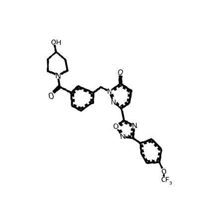 O=C(c1cccc(Cn2nc(-c3nc(-c4ccc(OC(F)(F)F)cc4)no3)ccc2=O)c1)N1CCC(O)CC1